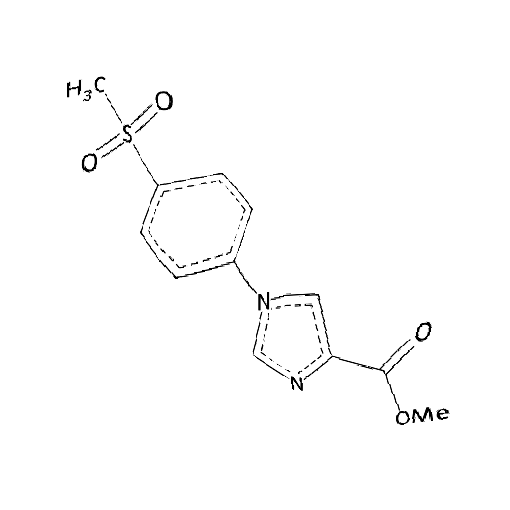 COC(=O)c1cn(-c2ccc(S(C)(=O)=O)cc2)cn1